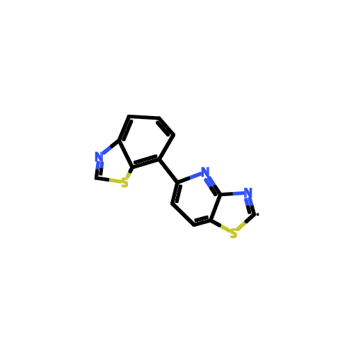 [c]1nc2nc(-c3cccc4ncsc34)ccc2s1